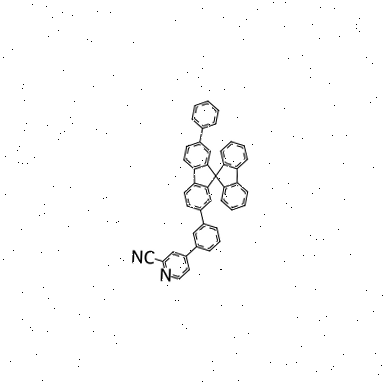 N#Cc1cc(-c2cccc(-c3ccc4c(c3)C3(c5ccccc5-c5ccccc53)c3cc(-c5ccccc5)ccc3-4)c2)ccn1